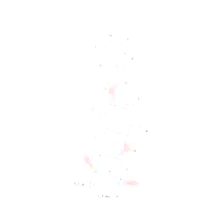 COC(=O)C(C(=O)OC)C1(C)CCc2c(C)c(OCc3ccccc3)c(C)c(C)c2O1